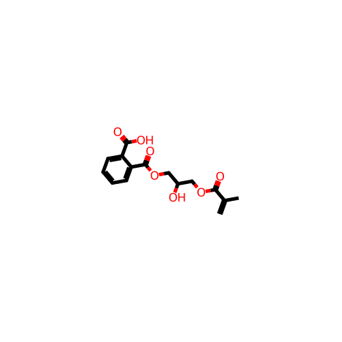 C=C(C)C(=O)OCC(O)COC(=O)c1ccccc1C(=O)O